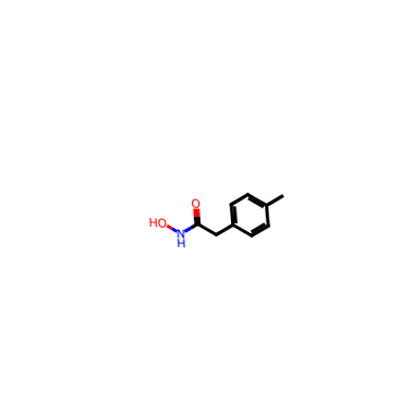 Cc1ccc(CC(=O)NO)cc1